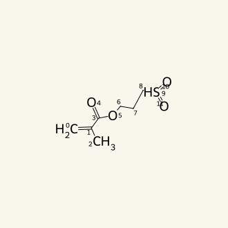 C=C(C)C(=O)OCCC[SH](=O)=O